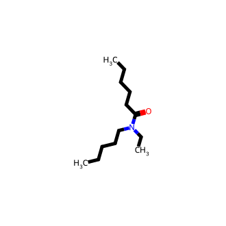 CCCCCC(=O)N(CC)CCCCC